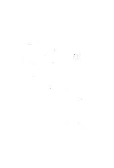 CC(C)(C)c1c(O)cc(C2C=CCCC2)cc1O